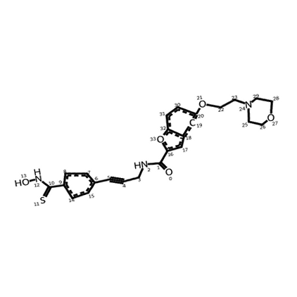 O=C(NCC#Cc1ccc(C(=S)NO)cc1)c1cc2cc(OCCN3CCOCC3)ccc2o1